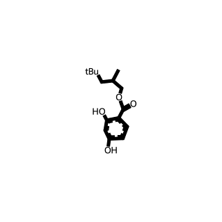 CC(COC(=O)c1ccc(O)cc1O)CC(C)(C)C